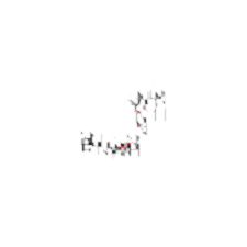 CNC(=O)CCC(C=O)N(C)C(=O)c1ccc(N2CCC3(CC2)CN(CC2CCN(c4ccc(NC(=O)C5(F)CCCN(c6cnc(C#N)c(C(F)(F)F)c6)CC5)nc4)CC2)C3)cc1C=O